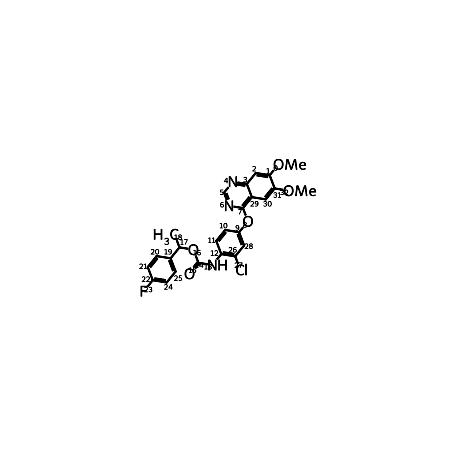 COc1cc2ncnc(Oc3ccc(NC(=O)OC(C)c4ccc(F)cc4)c(Cl)c3)c2cc1OC